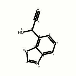 C#CC(O)c1cccc2ncoc12